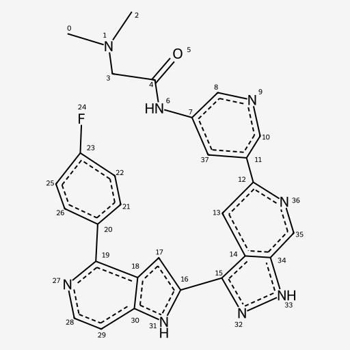 CN(C)CC(=O)Nc1cncc(-c2cc3c(-c4cc5c(-c6ccc(F)cc6)nccc5[nH]4)n[nH]c3cn2)c1